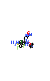 C[C@H]1CN2CCC[C@@]2(COc2nc(N3CCCc4nn(C(=O)N(C)C)cc4C3)c3cc(Cl)c(-c4ccc(F)c5sc(N)c(C#N)c45)c(F)c3n2)C1